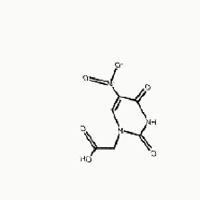 O=C(O)Cn1cc([N+](=O)[O-])c(=O)[nH]c1=O